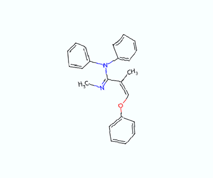 CN=C(C(C)=COc1ccccc1)N(c1ccccc1)c1ccccc1